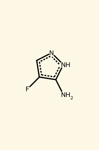 Nc1[nH]ncc1F